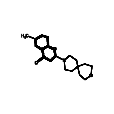 Cc1ccc2oc(N3CCC4(CCOCC4)CC3)cc(=O)c2c1